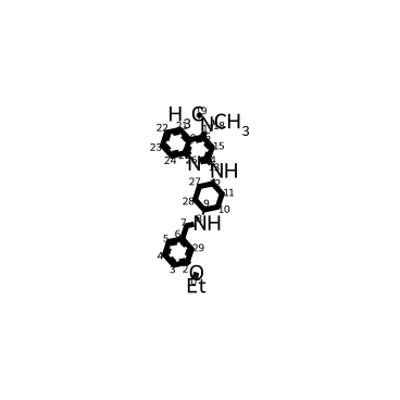 CCOc1cccc(CN[C@H]2CC[C@@H](Nc3cc(N(C)C)c4ccccc4n3)CC2)c1